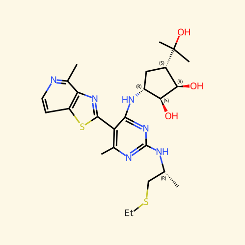 CCSC[C@@H](C)Nc1nc(C)c(-c2nc3c(C)nccc3s2)c(N[C@@H]2C[C@H](C(C)(C)O)[C@@H](O)[C@H]2O)n1